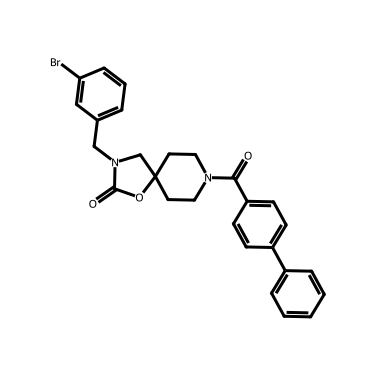 O=C1OC2(CCN(C(=O)c3ccc(-c4ccccc4)cc3)CC2)CN1Cc1cccc(Br)c1